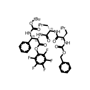 CC(C)C[C@H](NC(=O)[C@@H](CC(C)C)NC(=O)OCc1ccccc1)C(=O)N[C@H](C(=O)Oc1c(F)c(F)c(F)c(F)c1F)[C@H](NC(=O)OC(C)(C)C)c1ccccc1